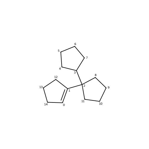 C1=C(C2(C3CCCC3)CCCC2)CCC1